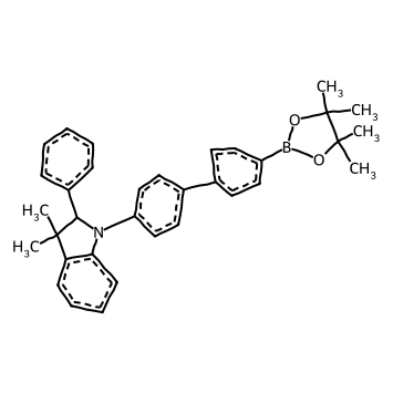 CC1(C)c2ccccc2N(c2ccc(-c3ccc(B4OC(C)(C)C(C)(C)O4)cc3)cc2)C1c1ccccc1